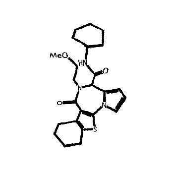 COCCN1C(=O)c2c(sc3c2CCCC3)-n2cccc2C1C(=O)NC1CCCCC1